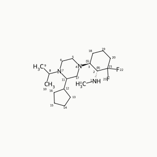 CN[C@@H]1[C@@H](N2CCN(C(C)C)C(C3CCCC3)C2)CCCC1(F)F